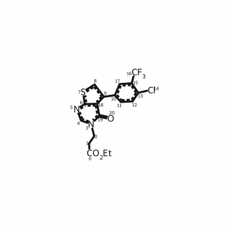 CCOC(=O)CCn1cnc2scc(-c3ccc(Cl)c(C(F)(F)F)c3)c2c1=O